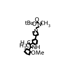 COc1ccccc1C1Nc2ccc(C3=CCN(CCN(C)C(=O)OC(C)(C)C)CC3)cc2C1(C)C